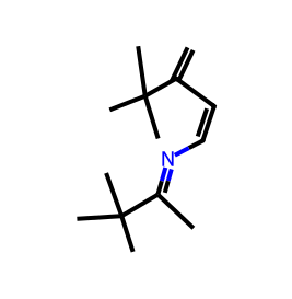 C=C(/C=C\N=C(/C)C(C)(C)C)C(C)(C)C